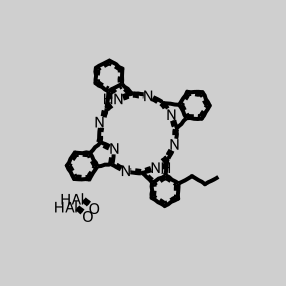 CCCc1cccc2c3nc4nc(nc5[nH]c(nc6nc(nc([nH]3)c12)-c1ccccc1-6)c1ccccc51)-c1ccccc1-4.[O]=[AlH].[O]=[AlH]